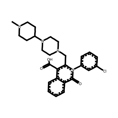 CN1CCC(N2CCN(Cc3c(C(=O)O)c4ccccc4c(=O)n3-c3cccc(Cl)c3)CC2)CC1